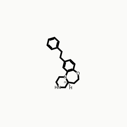 c1ccc(CCc2ccc3c(c2)N2CCNC[C@@H]2CCO3)cc1